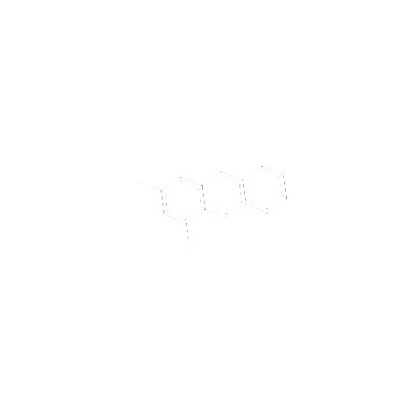 Clc1[c]c(Cl)c2cc3cc[c]cc3cc2c1